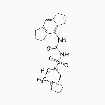 CN1CCC[C@@H]1CN(C)S(=O)(=O)NC(=O)Nc1c2c(cc3c1CCC3)CC=C2